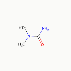 CN([TeH])C(N)=O